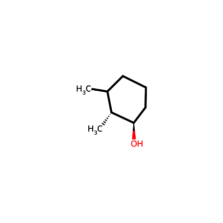 CC1CCC[C@@H](O)[C@@H]1C